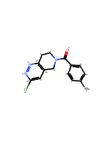 CC(C)(C)c1ccc(C(=O)N2CCc3nnc(Cl)cc3C2)cc1